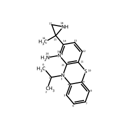 CC(C)N1c2ccccc2Sc2ccc(C3(C)CN3)[n+](N)c21